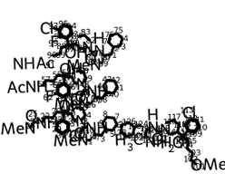 CNC[C@H](CC1CCCCC1)NC(=O)N1CCC[C@@H]([C@@](O)(CCCNC(=O)NC)c2cccc(Cl)c2)C1.CNC[C@H](CC1CCCCC1)NC(=O)N1CCC[C@@H]([C@@](O)(CCCNC(C)=O)c2cc(F)cc(Cl)c2)C1.CNC[C@H](CC1CCCCC1)NC(=O)N1CCC[C@@H]([C@@](O)(CCCNC(C)=O)c2cccc(Cl)c2F)C1.COCCCC[C@@](O)(c1cccc(Cl)c1)C1CCCN(C(=O)N[C@@H](CC2CCCCC2)[C@H](C)N)C1